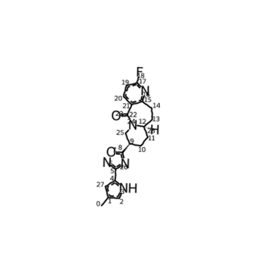 Cc1c[nH]c(-c2noc([C@@H]3CC[C@@H]4CCc5nc(F)ccc5C(=O)N4C3)n2)c1